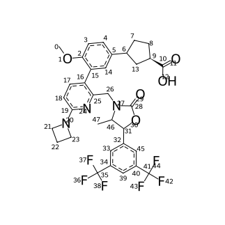 COc1ccc(C2CC[C@@H](C(=O)O)C2)cc1-c1ccc(N2CCC2)nc1CN1C(=O)OC(c2cc(C(F)(F)F)cc(C(F)(F)F)c2)C1C